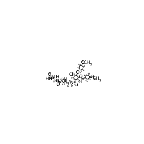 COc1ccc(COc2c(Cl)cc(C(=O)N3CC[C@@H](c4cc(C(=O)NC[C@H]5CC(=O)N5)on4)C3)c(Cl)c2OCc2ccc(OC)cc2)cc1